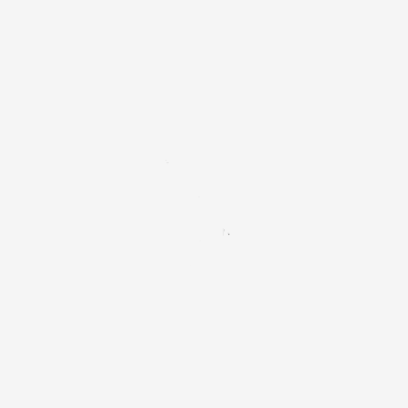 CC(=O)c1cc(Cl)cc2nc(S)oc12